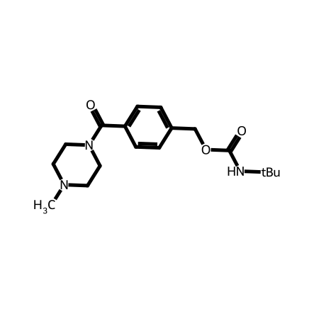 CN1CCN(C(=O)c2ccc(COC(=O)NC(C)(C)C)cc2)CC1